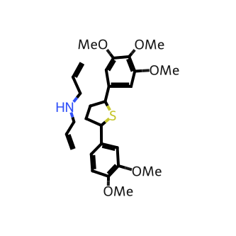 C=CCNCC=C.COc1ccc(C2CCC(c3cc(OC)c(OC)c(OC)c3)S2)cc1OC